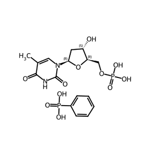 Cc1cn([C@H]2C[C@H](O)[C@@H](COP(=O)(O)O)O2)c(=O)[nH]c1=O.O=P(O)(O)c1ccccc1